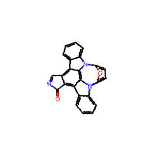 O=c1ncc2c1c1c3ccccc3n3c4ccc(o4)n4c5ccccc5c2c4c13